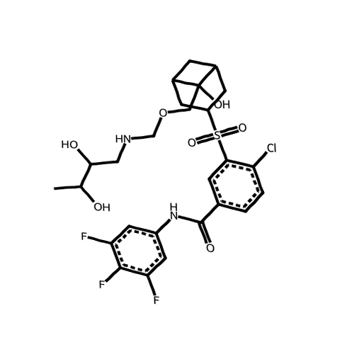 CC(O)C(O)CNCOCC1(O)C2CC1CC(S(=O)(=O)c1cc(C(=O)Nc3cc(F)c(F)c(F)c3)ccc1Cl)C2